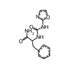 NC(=O)C(Cc1ccccc1)NC(=O)Nc1ncco1